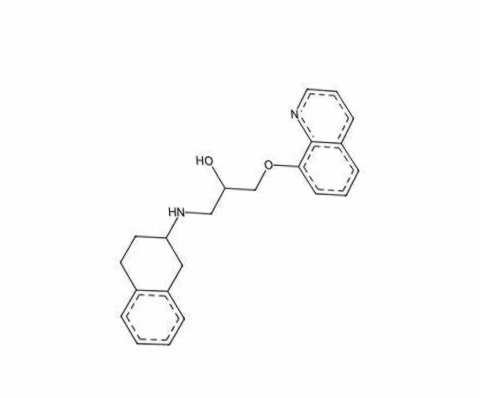 OC(CNC1CCc2ccccc2C1)COc1cccc2cccnc12